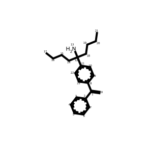 C=C(c1ccccc1)c1ccc(C(N)(CCCC)CCCC)cc1